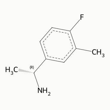 Cc1cc([C@@H](C)N)ccc1F